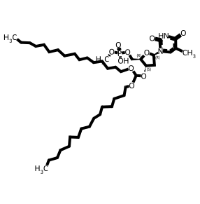 CCCCCCCCCCCCCCCCOC(OCCCCCCCCCCCCCCCC)O[C@H]1C[C@H](n2cc(C)c(=O)[nH]c2=O)O[C@@H]1COP(=O)(O)OC